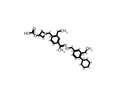 CCc1cc(C(C)=NOCc2ccc(C3CCCCC3)c(CC)c2)ccc1CN1CC(OC(=O)O)C1